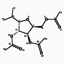 CC(=O)OC[C@@H]1OC(C(C)C)[C@@H](OC(C)=O)[C@@H]1OC(C)=O